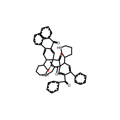 C[C@H](CO)C1(C(=O)C2([C@H](C)CO)C=C(C(=O)c3ccccc3)C(c3ccccc3)=CC2C2CCCNC2)C=C(C(=O)c2ccccc2)C(c2ccccc2)=CC1C1CCCNC1